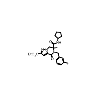 CCOC(=O)c1cc2n(n1)CC(C)(C(=O)NC1CCCC1)N(Cc1cccc(F)c1)C2=O